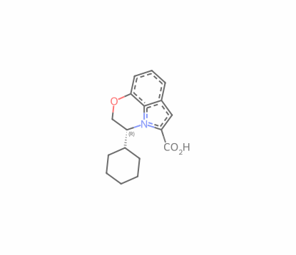 O=C(O)c1cc2cccc3c2n1[C@H](C1CCCCC1)CO3